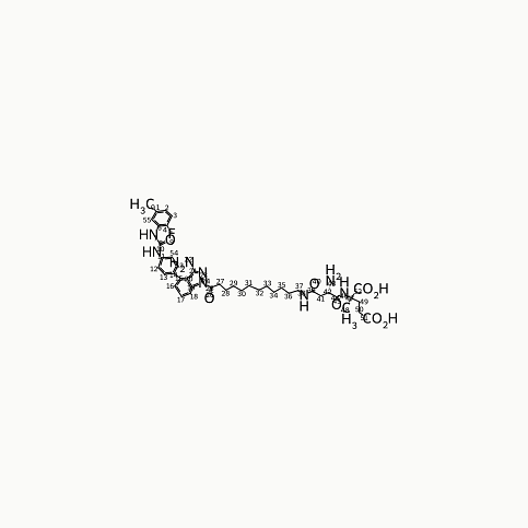 Cc1ccc(F)c(NC(=O)Nc2ccc(-c3cccc4c3c(N)nn4C(=O)CCCCCCCCCCCNC(=O)C[C@H](N)C(=O)NC(C)(CCC(=O)O)C(=O)O)cc2)c1